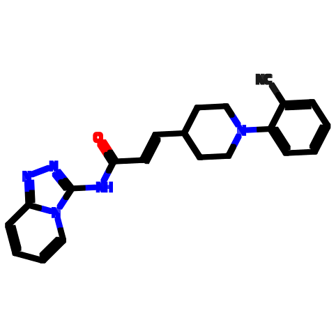 N#Cc1ccccc1N1CCC(C=CC(=O)Nc2nnc3ccccn23)CC1